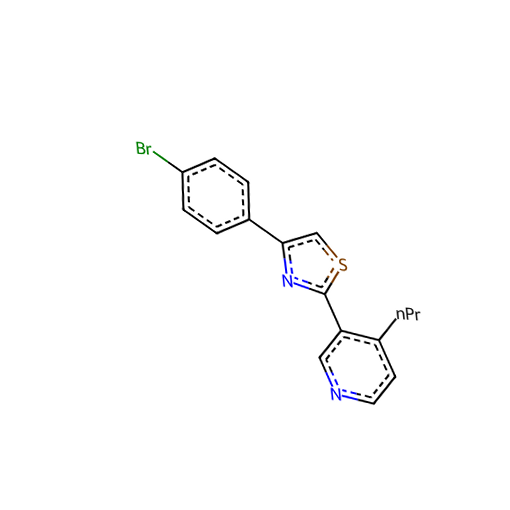 CCCc1ccncc1-c1nc(-c2ccc(Br)cc2)cs1